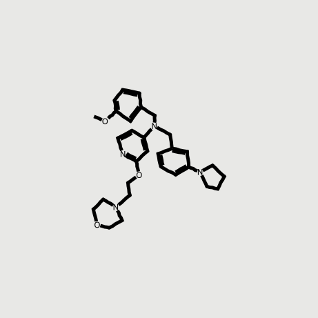 COc1cccc(CN(Cc2cccc(N3CCCC3)c2)c2ccnc(OCCN3CCOCC3)c2)c1